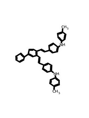 Cc1ccc(Nc2ccc(C=Cc3ccc(-c4ccccc4)cc3C=Cc3ccc(Nc4ccc(C)cc4)cc3)cc2)cc1